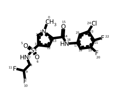 Cn1cc(S(=O)(=O)NCC(F)F)cc1C(=O)Nc1cc(F)c(F)c(Cl)c1